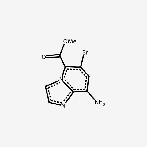 COC(=O)c1c(Br)cc(N)c2nccn12